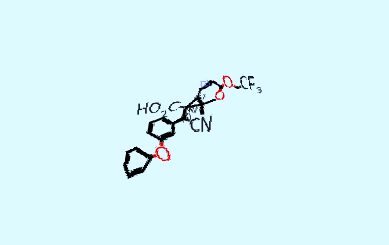 CC1(C)[C@H](/C=C\C(=O)OCC(F)(F)F)[C@@]1(C(=O)O)[C@@H](C#N)c1cccc(Oc2ccccc2)c1